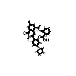 Cc1cc(C(C)Nc2ccccc2C(=O)O)c2cc(-c3ccc(N4CCCC4)cc3)n(C)c(=O)c2c1